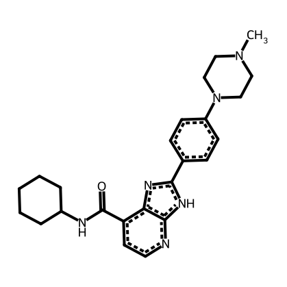 CN1CCN(c2ccc(-c3nc4c(C(=O)NC5CCCCC5)ccnc4[nH]3)cc2)CC1